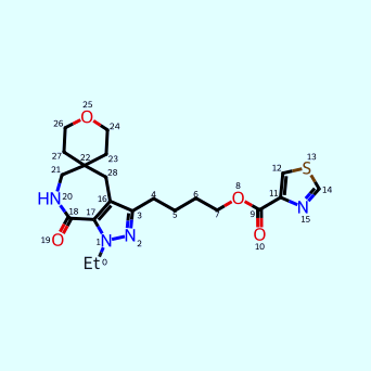 CCn1nc(CCCCOC(=O)c2cscn2)c2c1C(=O)NCC1(CCOCC1)C2